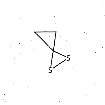 C1CC12SS2